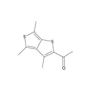 CC(=O)c1sc2c(C)sc(C)c2c1C